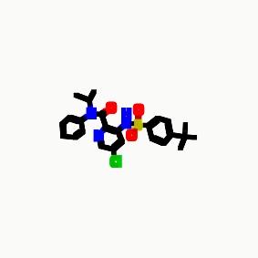 CC(C)N(C(=O)c1ncc(Cl)cc1NS(=O)(=O)c1ccc(C(C)(C)C)cc1)c1ccccc1